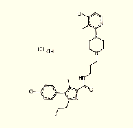 CCCc1nc(C(=O)NCCCN2CCN(c3cccc(Cl)c3C)CC2)c(C)n1-c1ccc(Cl)cc1.Cl.Cl